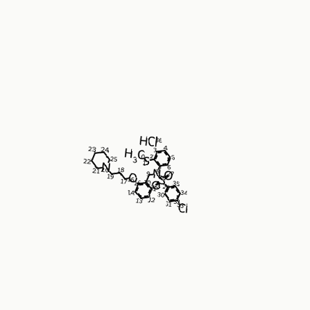 CSc1ccccc1N(Cc1ccccc1OCCCN1CCCCC1)S(=O)(=O)c1ccc(Cl)cc1.Cl